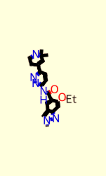 CCOc1cc2nn(C)cc2cc1C(=O)Nc1ccc(C2=CC(C)(C)N=CC2)nn1